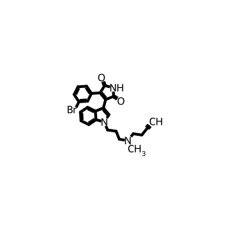 C#CCCN(C)CCCn1cc(C2=C(c3cccc(Br)c3)C(=O)NC2=O)c2ccccc21